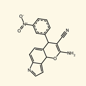 N#CC1=C(N)OC2C3=CC=NC3=CC=C2C1c1cccc([N+](=O)[O-])c1